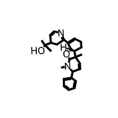 CN1C(c2ccccc2)C=CC2(C)C3CCC=C(C4=NC=CC(C(C)(C)O)C4)[C@H]3OC12